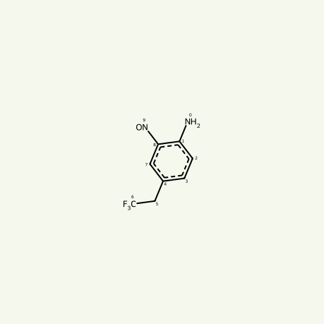 Nc1ccc(CC(F)(F)F)cc1N=O